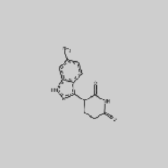 Nc1ccc2c(C3CCC(=O)NC3=O)n[nH]c2c1